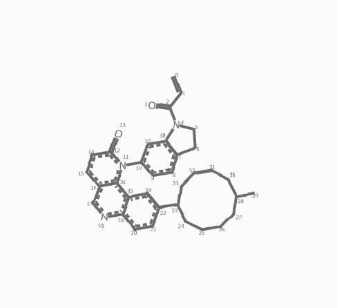 C=CC(=O)N1CCc2ccc(-n3c(=O)ccc4cnc5ccc(C6CCCCC(C)CCCC6)cc5c43)cc21